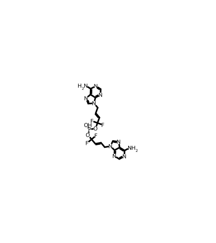 Nc1ncnc2c1ncn2CC=CC(F)(F)O[PH](=O)OC(F)(F)C=CCn1cnc2c(N)ncnc21